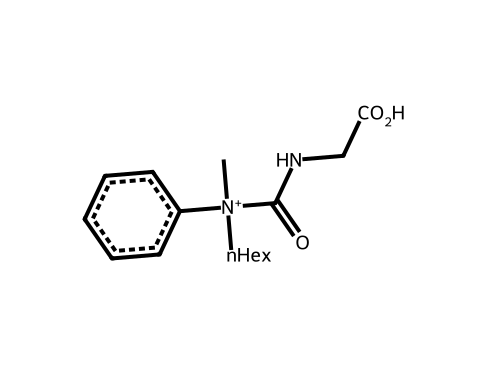 CCCCCC[N+](C)(C(=O)NCC(=O)O)c1ccccc1